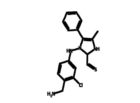 CC1=C(c2ccccc2)N(Nc2ccc(CN)c(Cl)c2)C(C=S)N1